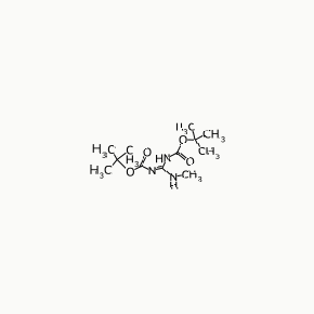 CN/C(=N/C(=O)OC(C)(C)C)NC(=O)OC(C)(C)C